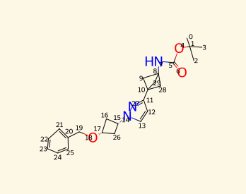 CC(C)(C)OC(=O)NC12CC(c3ccn([C@H]4C[C@@H](OCc5ccccc5)C4)n3)(C1)C2